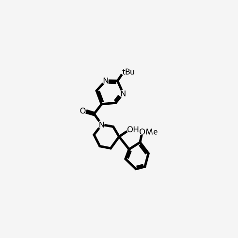 COc1ccccc1C1(O)CCCN(C(=O)c2cnc(C(C)(C)C)nc2)C1